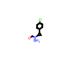 NN(C=O)C1CC1c1ccc(Cl)cc1